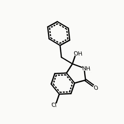 O=C1NC(O)(Cc2ccccc2)c2ccc(Cl)cc21